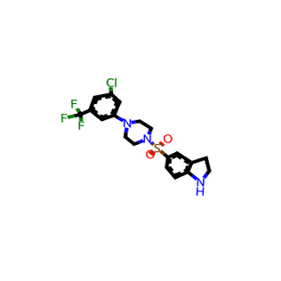 O=S(=O)(c1ccc2c(c1)CCN2)N1CCN(c2cc(Cl)cc(C(F)(F)F)c2)CC1